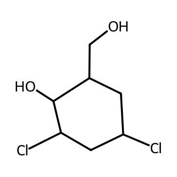 OCC1CC(Cl)CC(Cl)C1O